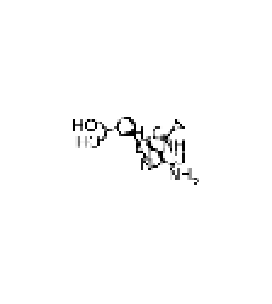 C[C@@H](Nc1c(C(N)=O)cnn2cc(-c3cccc(C(CO)CO)c3)cc12)C1CC1